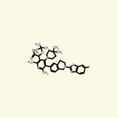 Cc1nc(C)c(C(OC(C)(C)C)C(=O)O)c(N2CCC(C)(C)CC2)c1-c1ccc2c(c1)CCN(c1nc3ccc(F)cc3s1)C2